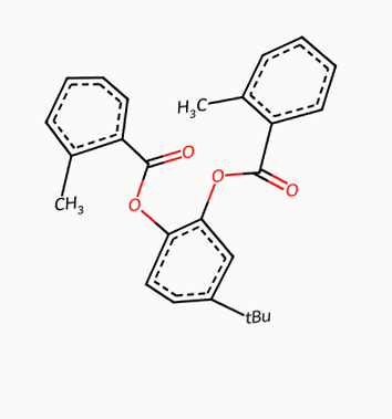 Cc1ccccc1C(=O)Oc1ccc(C(C)(C)C)cc1OC(=O)c1ccccc1C